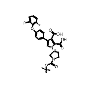 CC(C)(C)OC(=O)N1CC[C@@H](n2cc(-c3ccc(Oc4c(F)cccc4F)cc3)c(C(=O)O)c2C(=O)O)C1